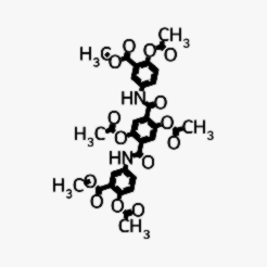 COC(=O)c1cc(NC(=O)c2cc(OC(C)=O)c(C(=O)Nc3ccc(OC(C)=O)c(C(=O)OC)c3)cc2OC(C)=O)ccc1OC(C)=O